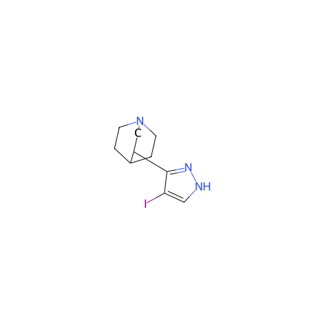 Ic1c[nH]nc1C1CN2CCC1CC2